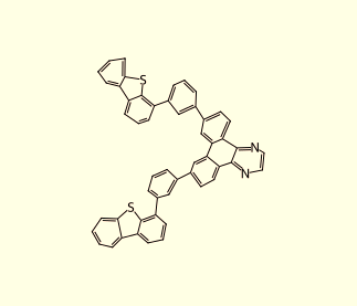 c1cc(-c2ccc3c(c2)c2cc(-c4cccc(-c5cccc6c5sc5ccccc56)c4)ccc2c2nccnc32)cc(-c2cccc3c2sc2ccccc23)c1